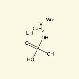 O=P(O)(O)O.[CaH2].[LiH].[Mn].[V]